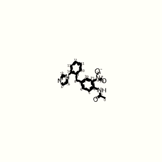 CC(=O)Nc1ccc(Cc2ccccc2-n2ccnc2)cc1[N+](=O)[O-]